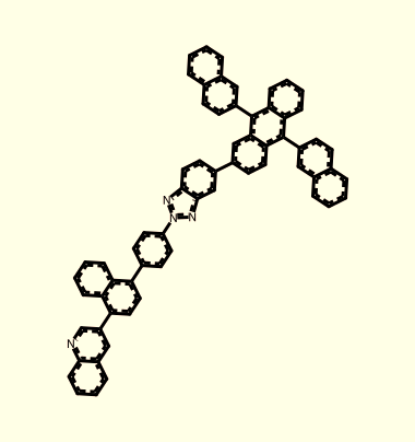 c1ccc2cc(-c3c4ccccc4c(-c4ccc5ccccc5c4)c4cc(-c5ccc6nn(-c7ccc(-c8ccc(-c9cnc%10ccccc%10c9)c9ccccc89)cc7)nc6c5)ccc34)ccc2c1